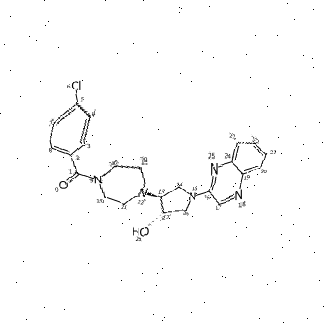 O=C(c1ccc(Cl)cc1)N1CCN([C@H]2CN(c3cnc4ccccc4n3)C[C@@H]2O)CC1